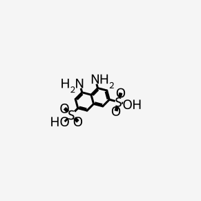 Nc1cc(S(=O)(=O)O)cc2cc(S(=O)(=O)O)cc(N)c12